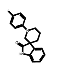 O=C1Nc2ccccc2C12CCCN(c1ccc(I)cc1)C2